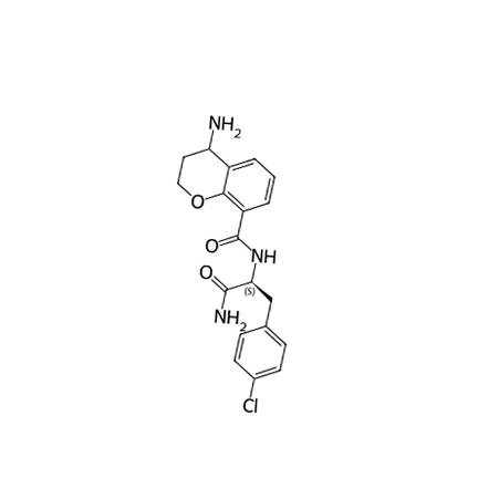 NC(=O)[C@H](Cc1ccc(Cl)cc1)NC(=O)c1cccc2c1OCCC2N